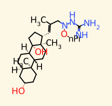 CCCON(C/C(C)=C/[C@H]1CC[C@]2(O)[C@@H]3CC[C@@H]4C[C@@H](O)CC[C@]4(C)[C@H]3CC[C@]12C)NC(=N)N